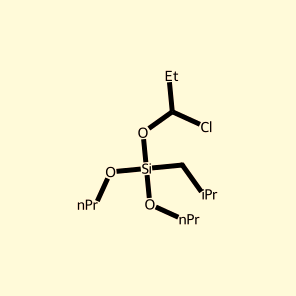 CCCO[Si](CC(C)C)(OCCC)OC(Cl)CC